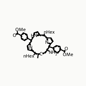 CCCCCCc1c(C)ccc(N)c(-c2ccc(C(=O)OC)cc2)c2nc(c(CCCCCC)c3ccc([nH]3)c(-c3ccc(C(=O)OC)cc3)c3nc1C=C3)C=C2